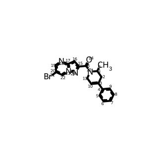 CC1CC(c2ccccc2)=CCN1C(=O)c1cc2ncc(Br)cn2n1